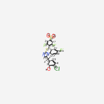 COc1cc(C(C)(C)c2cnc(SCc3c(F)cc([S](=O)=O)cc3F)n2-c2ccc(F)cc2)ccc1Cl